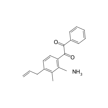 C=CCc1ccc(C(=O)C(=O)c2ccccc2)c(C)c1C.N